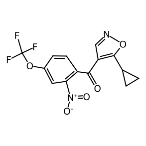 O=C(c1ccc(OC(F)(F)F)cc1[N+](=O)[O-])c1cnoc1C1CC1